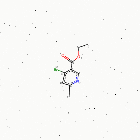 CCOC(=O)c1cnc(C)cc1Br